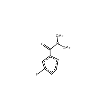 CON(OC)C(=O)c1cccc(F)c1